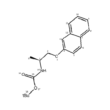 C[C@@H](COc1ccc2ccccc2c1)NC(=O)OC(C)(C)C